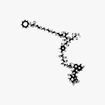 Cc1c(F)cc2nc3c(c4c2c1CC[C@@H]4NC(=O)COCN(C)C(=O)CNC(=O)OCc1ccc(NC(=O)[C@H](CCCNC(N)=O)NC(=O)[C@@H](NC(=O)CCOCCOCCOCCOCCNC(=O)COC2CCCCCCC2)C(C)C)cc1)Cn1c-3cc2c(c1=O)COC(=O)[C@]2(O)C(C)C